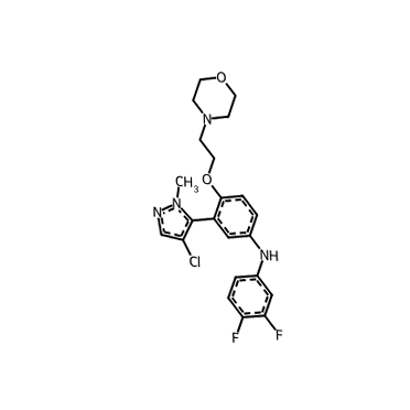 Cn1ncc(Cl)c1-c1cc(Nc2ccc(F)c(F)c2)ccc1OCCN1CCOCC1